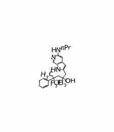 CCCNc1cc2cc(CC(O)(CC(C)(C)c3ccccc3)C(F)(F)F)[nH]c2cn1